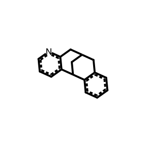 c1ccc2c(c1)CC1Cc3ncccc3C2C1